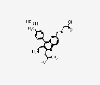 Cc1ccc(-c2c(CN)c(CC(C)C)nc3ccc(CSCC(=O)O)cc23)cc1.Cl.Cl